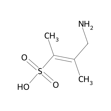 CC(CN)=C(C)S(=O)(=O)O